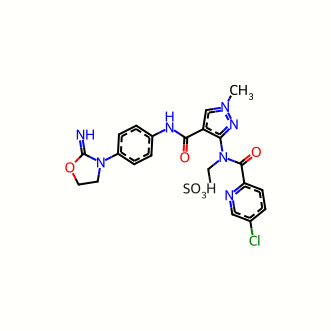 Cn1cc(C(=O)Nc2ccc(N3CCOC3=N)cc2)c(N(CS(=O)(=O)O)C(=O)c2ccc(Cl)cn2)n1